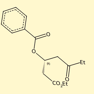 CCOC(=O)C[C@@H](CC(=O)CC)OC(=O)c1ccccc1